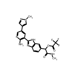 CNC(=O)C(OC(=O)C(F)(F)F)c1ccc2nc(-c3cc(-c4cnn(C)c4)cnc3N)[nH]c2c1